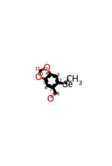 C[Se]c1cc2c(cc1C=O)OCO2